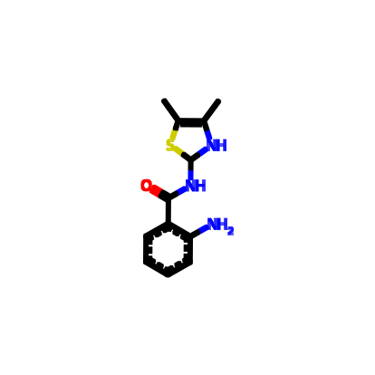 CC1=C(C)SC(NC(=O)c2ccccc2N)N1